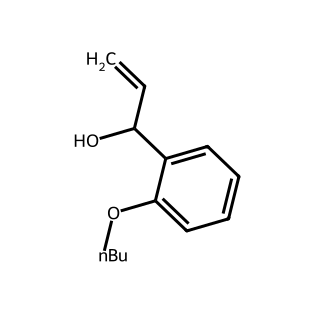 C=CC(O)c1ccccc1OCCCC